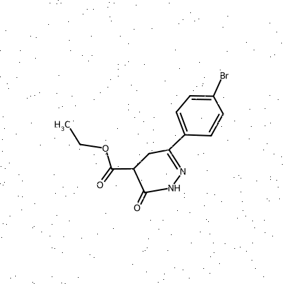 CCOC(=O)C1CC(c2ccc(Br)cc2)=NNC1=O